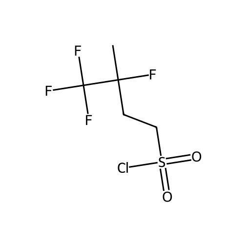 CC(F)(CCS(=O)(=O)Cl)C(F)(F)F